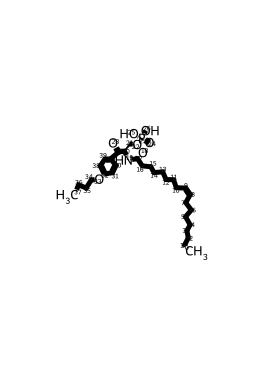 CCCCCCCC/C=C\CCCCCCCC(=O)N[C@H](COP(=O)(O)O)C(=O)c1ccc(OCCCC)cc1